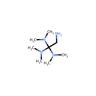 CN(C)C(CN)(N(C)C)N(C)C